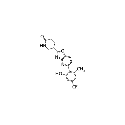 Cc1cc(C(F)(F)F)cc(O)c1-c1ccc2oc(C3CCC(=O)NC3)nc2n1